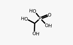 O=P(O)(O)C(O)O